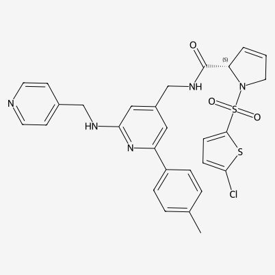 Cc1ccc(-c2cc(CNC(=O)[C@@H]3C=CCN3S(=O)(=O)c3ccc(Cl)s3)cc(NCc3ccncc3)n2)cc1